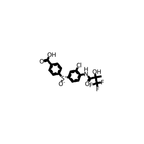 CC(O)(C(=O)Nc1ccc([S+]([O-])c2ccc(C(=O)O)cc2)cc1Cl)C(F)(F)F